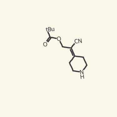 CC(C)(C)C(=O)OCC(C#N)=C1CCNCC1